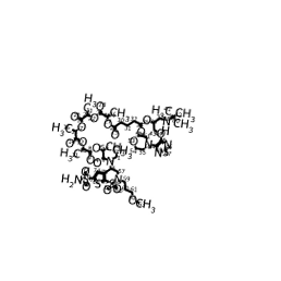 CCN(C(=O)C(C)OC(=O)C(C)OC(=O)C(C)OC(=O)C(C)OC(=O)C(C)OC(=O)CCCC(=O)OC(CNC(C)(C)C)COc1nsnc1N1CCOCC1)[C@@H]1CN(CCCOC)S(=O)(=O)c2sc(S(N)(=O)=O)cc21